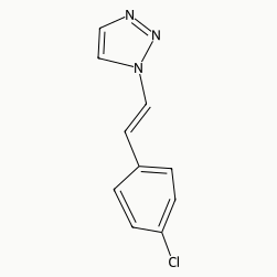 Clc1ccc(/C=C/n2ccnn2)cc1